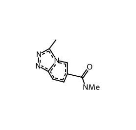 CNC(=O)c1ccc2nnc(C)n2c1